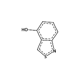 Oc1cccc2nscc12